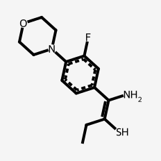 CC/C(S)=C(/N)c1ccc(N2CCOCC2)c(F)c1